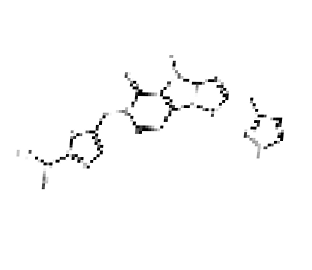 Cn1c2nc(Cc3cc[nH]n3)sc2c2cnn(Cc3cnc(C(N)=O)o3)c(=O)c21